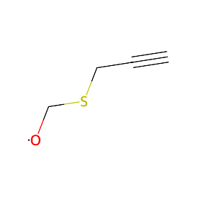 C#CCSC[O]